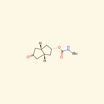 CC(C)(C)NC(=O)O[C@H]1C[C@H]2CC(=O)C[C@H]2C1